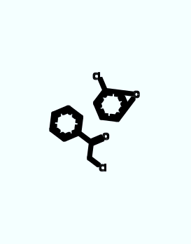 Clc1cccc2c1O2.O=C(CCl)c1ccccc1